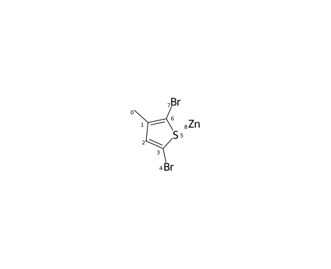 Cc1cc(Br)sc1Br.[Zn]